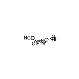 C[C@@H]1C[C@@H](Cn2ncc3cc(-c4cn[nH]c4)ccc32)CN1C(=O)c1cccc(C#N)c1